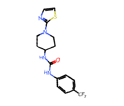 O=C(Nc1ccc(C(F)(F)F)cc1)NC1CCN(c2nccs2)CC1